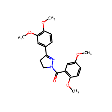 COc1ccc(OC)c(C(=O)N2CCC(c3ccc(OC)c(OC)c3)=N2)c1